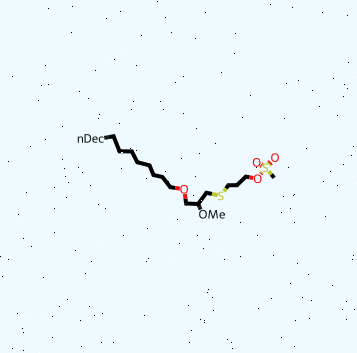 CCCCCCCCCCCCCCCCCCOCC(CSCCCOS(C)(=O)=O)OC